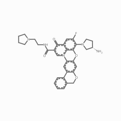 N[C@H]1CCN(c2c(F)cc3c(=O)c(C(=O)NCCN4CCCC4)cn4c3c2Oc2cc3c(cc2-4)-c2ccccc2CO3)C1